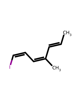 CC=C/C(C)=C\C=C/I